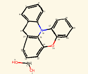 OBO.c1ccc2c(c1)Cc1cccc3c1N2c1ccccc1O3